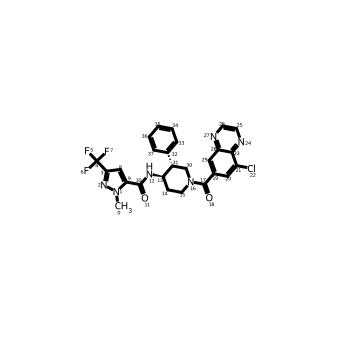 Cn1nc(C(F)(F)F)cc1C(=O)N[C@@H]1CCN(C(=O)c2cc(Cl)c3nccnc3c2)C[C@H]1c1ccccc1